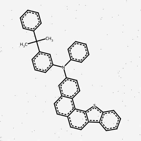 CC(C)(c1ccccc1)c1cccc(N(c2ccccc2)c2ccc3c(ccc4ccc5c6ccccc6sc5c43)c2)c1